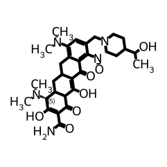 CC(O)C1CCN(Cc2cc(N(C)C)c3c(c2N=O)C(=O)C2=C(O)C4C(=O)C(C(N)=O)=C(O)[C@@H](N(C)C)C4CC2C3)CC1